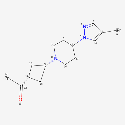 CC(C)c1cnn(C2CCN([C@H]3C[C@@H](C(=O)C(C)C)C3)CC2)c1